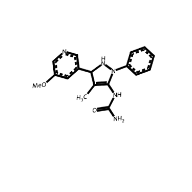 COc1cncc(C2NN(c3ccccc3)C(NC(N)=O)=C2C)c1